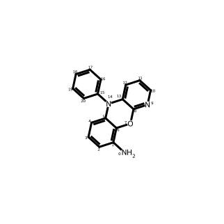 Nc1cccc2c1Oc1ncccc1N2c1ccccc1